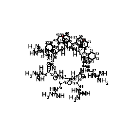 N=C(N)NCCC[C@@H]1NC(=O)[C@H](CCCNC(=N)N)NC(=O)[C@H](CCCNC(=N)N)NC(=O)[C@H](C(c2ccccc2)c2ccccc2)NC(=O)[C@H](C(c2ccccc2)c2ccccc2)NC(=O)[C@H](C(c2ccccc2)c2ccccc2)NC(=O)[C@H](CCCNC(=N)N)NC(=O)[C@H](CCCNC(=N)N)NC1=O